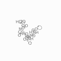 C=C1OCc2c(cc3n(c2=O)Cc2c-3nc3ccc(OC)cc3c2CNC(=O)CNC(=O)[C@H](Cc2ccccc2)NC(=O)CNC(=O)CNC(=O)COC2C#CCCCCC2)[C@@]1(O)CC